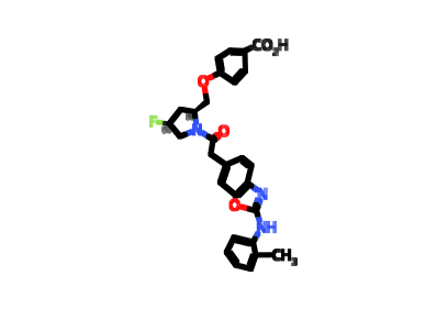 Cc1ccccc1Nc1nc2ccc(CC(=O)N3C[C@@H](F)C[C@H]3COc3ccc(C(=O)O)cc3)cc2o1